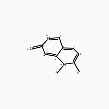 Cc1ccc2cnc(=O)cc-2n1C